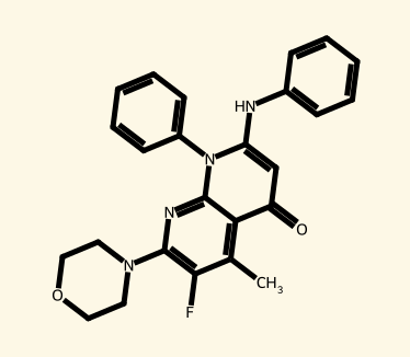 Cc1c(F)c(N2CCOCC2)nc2c1c(=O)cc(Nc1ccccc1)n2-c1ccccc1